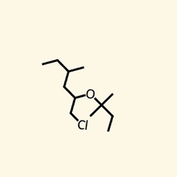 CCC(C)CC(CCl)OC(C)(C)CC